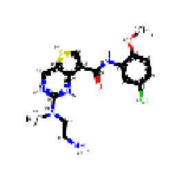 COc1ccc(Cl)cc1NC(=O)c1csc2cnc(N(C)CCN)nc12